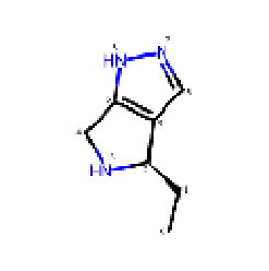 CC[C@H]1NCc2[nH]ncc21